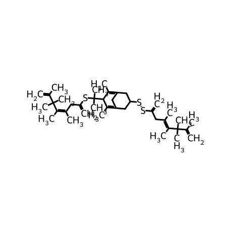 C=C(C/C(C)=C(\C)C(C)(C)C(=C)C)SSC1CC2=C(C)C(C(C)(C)SC(=C)C/C(C)=C(/C)C(C)(C)C(=C)C)C(C)=C(C2)C1